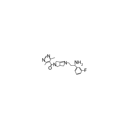 Cc1ncnc(C)c1C(=O)N1CC2=CN(CCC(N)c3cccc(F)c3)CC2C1